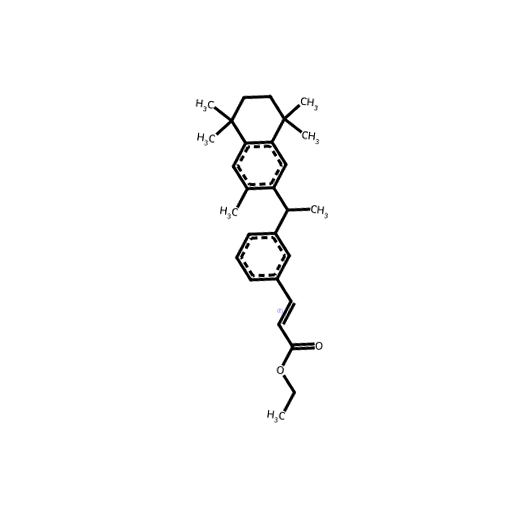 CCOC(=O)/C=C/c1cccc(C(C)c2cc3c(cc2C)C(C)(C)CCC3(C)C)c1